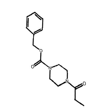 CCC(=O)N1CCN(C(=O)OCc2ccccc2)CC1